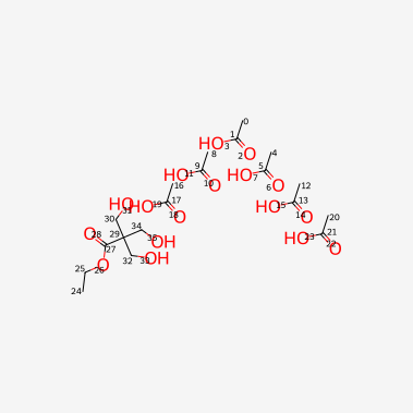 CC(=O)O.CC(=O)O.CC(=O)O.CC(=O)O.CC(=O)O.CC(=O)O.CCOC(=O)C(CO)(CO)CO